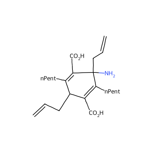 C=CCC1C(CCCCC)=C(C(=O)O)C(N)(CC=C)C(CCCCC)=C1C(=O)O